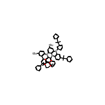 CC(C)(C)c1ccc(N2c3cc4c(cc3B3c5ccc(C(C)(C)c6ccccc6)cc5N(c5cccc(C(C)(C)c6ccccc6)c5)c5cc(C(C)(C)C)cc2c53)C(C)(C)CCC4(C)C)c(-c2cc(-c3ccccc3)cc(-c3ccccc3)c2)c1